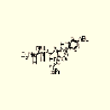 CCCCc1ccc(C(=O)N[C@@H](CCCNC(=N)N[N+](=O)[O-])C(=O)N[CH]CC(C)C)cc1